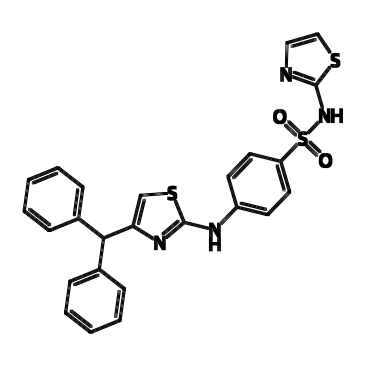 O=S(=O)(Nc1nccs1)c1ccc(Nc2nc(C(c3ccccc3)c3ccccc3)cs2)cc1